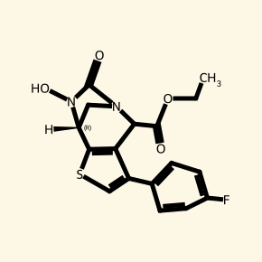 CCOC(=O)C1c2c(-c3ccc(F)cc3)csc2[C@H]2CN1C(=O)N2O